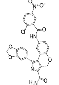 NC(=O)c1nn(-c2ccc3c(c2)OCO3)c2c1COc1ccc(NC(=O)c3cc([N+](=O)[O-])ccc3Cl)cc1-2